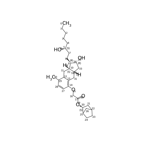 CCCCC[C@H](O)CC[C@@H]1[C@H]2CC3C(=C(OCC(=O)O[C@H]4CC5CCC4C5)C=CC3C)C[C@H]2C[C@H]1O